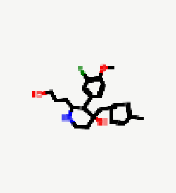 COc1ccc(C2C(CCCO)NCCC2(O)Cc2ccc(C)cc2)cc1F